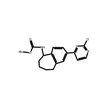 CC(C)(C)OC(=O)NC1CCCCc2cc(-c3ccnc(Cl)n3)ccc21